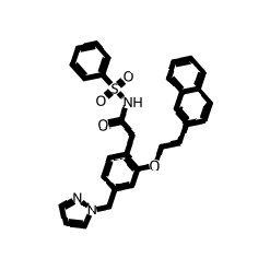 O=C(Cc1ccc(Cn2cccn2)cc1OCCc1ccc2ccccc2c1)NS(=O)(=O)c1ccccc1